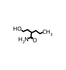 CCCC(CCO)C(N)=O